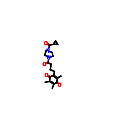 CC1=C(C)C(=O)C(CCCC(=O)N2CCN(C(=O)C3CC3)CC2)=C(C)C1=O